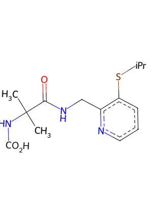 CC(C)Sc1cccnc1CNC(=O)C(C)(C)NC(=O)O